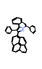 c1ccc(-c2c(-c3ccc4ccc5cccc6ccc3c4c56)nn3c(-c4ccccc4)cc4ccccc4c23)cc1